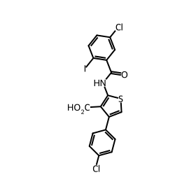 O=C(Nc1scc(-c2ccc(Cl)cc2)c1C(=O)O)c1cc(Cl)ccc1I